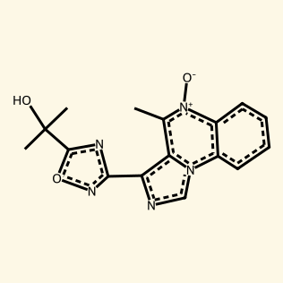 Cc1c2c(-c3noc(C(C)(C)O)n3)ncn2c2ccccc2[n+]1[O-]